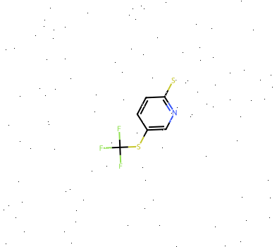 FC(F)(F)Sc1ccc([S])nc1